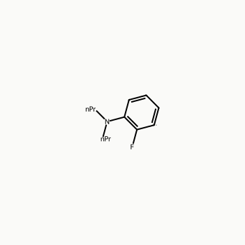 CCCN(CCC)c1ccc[c]c1F